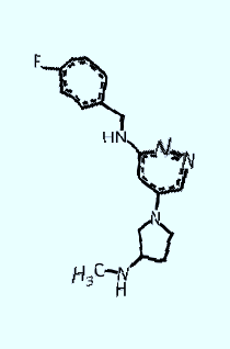 CNC1CCN(c2cnnc(NCc3ccc(F)cc3)c2)C1